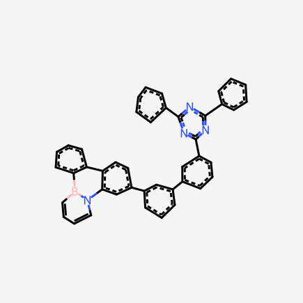 C1=CB2c3ccccc3-c3ccc(-c4cccc(-c5cccc(-c6nc(-c7ccccc7)nc(-c7ccccc7)n6)c5)c4)cc3N2C=C1